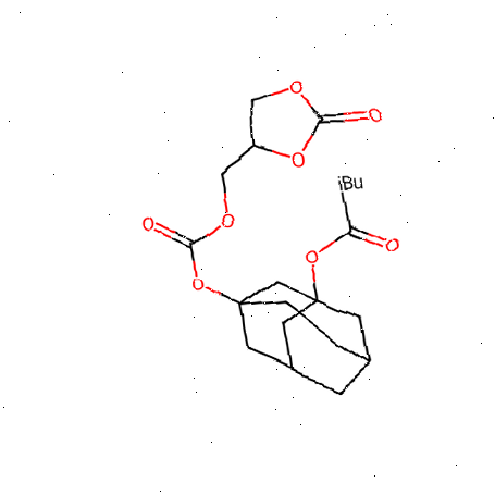 CCC(C)C(=O)OC12CC3CC(CC(OC(=O)OCC4COC(=O)O4)(C3)C1)C2